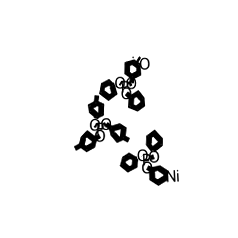 Cc1ccc(OP(Oc2ccc(C)cc2)Oc2ccc(C)cc2)cc1.[C]=O.[Ni].c1ccc(OP(Oc2ccccc2)Oc2ccccc2)cc1.c1ccc(OP(Oc2ccccc2)Oc2ccccc2)cc1